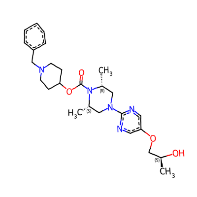 C[C@H](O)COc1cnc(N2C[C@@H](C)N(C(=O)OC3CCN(Cc4ccccc4)CC3)[C@@H](C)C2)nc1